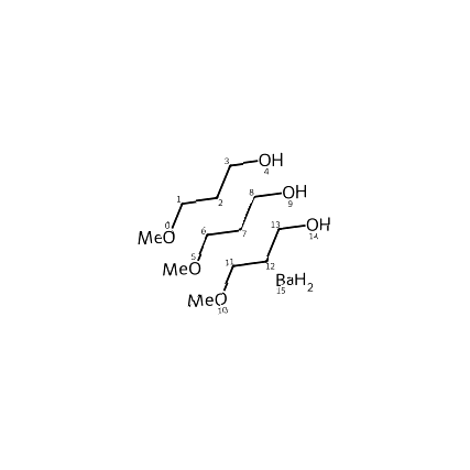 COCCCO.COCCCO.COCCCO.[BaH2]